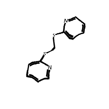 c1ccc(SCSc2ccccn2)nc1